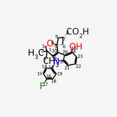 CC1(C)CO[C@]2(C[C@@H](C(=O)O)C2)c2c1n(-c1ccc(F)cc1)c1cccc(O)c12